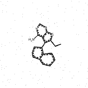 CCc1sc2ncnc(N)c2c1-c1cccc2ccccc12